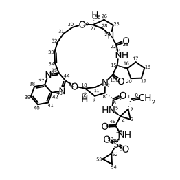 C=C[C@@H]1C[C@]1(NC(=O)[C@@H]1C[C@@H]2CN1C(=O)[C@H](C1CCCC1)NC(=O)N1CC[C@@H](C1)OCCCC=Cc1nc3ccccc3nc1O2)C(=O)NS(=O)(=O)C1CC1